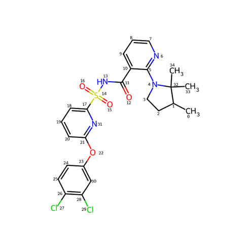 CC1CCN(c2ncccc2C(=O)NS(=O)(=O)c2cccc(Oc3ccc(Cl)c(Cl)c3)n2)C1(C)C